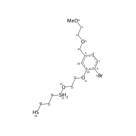 COCCOCc1ccc(Br)c(OCCO[SiH2]CCCS)c1